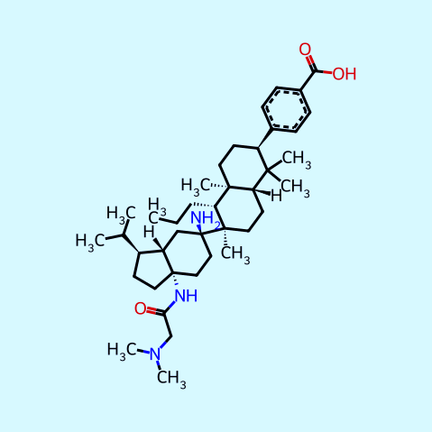 CCC[C@@H]1[C@@]2(C)CC[C@@H](c3ccc(C(=O)O)cc3)C(C)(C)[C@@H]2CC[C@@]1(C)[C@]1(N)CC[C@@]2(NC(=O)CN(C)C)CC[C@@H](C(C)C)[C@@H]2C1